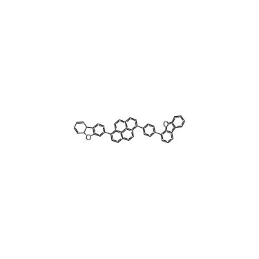 C1=CC2Oc3cc(-c4ccc5ccc6c(-c7ccc(-c8cccc9c8oc8ccccc89)cc7)ccc7ccc4c5c76)ccc3C2C=C1